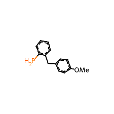 COc1ccc(Cc2ccccc2P)cc1